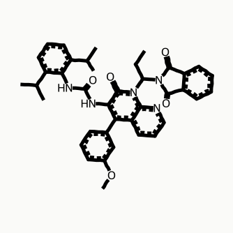 CCC(N1C(=O)c2ccccc2C1=O)n1c(=O)c(NC(=O)Nc2c(C(C)C)cccc2C(C)C)c(-c2cccc(OC)c2)c2cccnc21